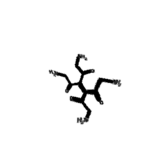 NCC(=O)C(C(=O)CN)=C(C(=O)CN)C(=O)CN